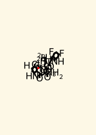 [2H]C([2H])([2H])N(C(=O)c1cc2c(F)cc(F)cc2[nH]1)[C@@H](CC(C)(C)F)C(=O)N1C[C@]2(C[C@H]1C(N)=O)C(=O)Nc1ccc(Cl)cc12